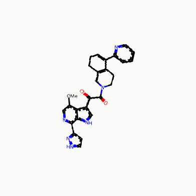 COc1cnc(-c2cc[nH]n2)c2[nH]cc(C(=O)C(=O)N3CCC4=C(CCC=C4c4ccccn4)C3)c12